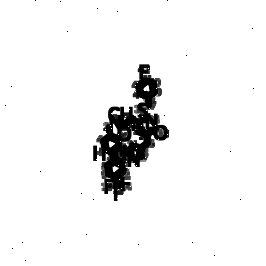 CN(Cc1ccc(-c2ccc(C(F)(F)F)cc2)cc1)C(=O)Cn1cc(Cc2cnn(C)c2)c(=O)nc1SCc1ccc(F)cc1